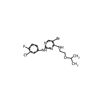 CC(C)OCCNc1nc(Nc2ccc(F)c(Cl)c2)ncc1Br